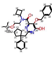 CC(C)(C)[Si](C)(C)OCCN(C(=O)c1nc(CC2(c3ccccc3)CCCC2)nc(O)c1OCc1ccccc1)C1CCC1